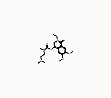 CCn1cc(OC(=O)N(C)CCN(C)C)c2cc(OC)c(OC)cc2c1=O